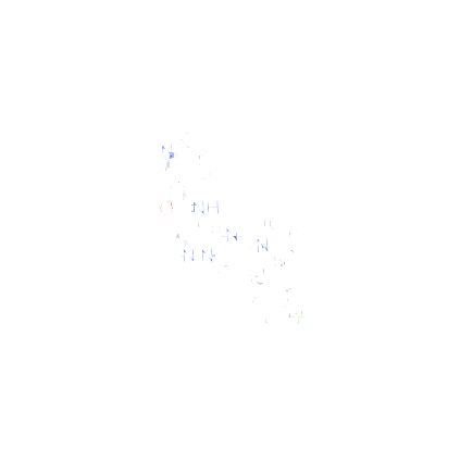 O=C(NC1C=NN2C=CC(N3CCC[C@@H]3c3cccc(F)c3)=NC12)c1cccnc1